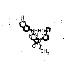 C=CCn1c(=O)c2cnc(Nc3ccc4c(c3)CNCC4)nc2n1-c1cccc(C2(O)CCC2)n1